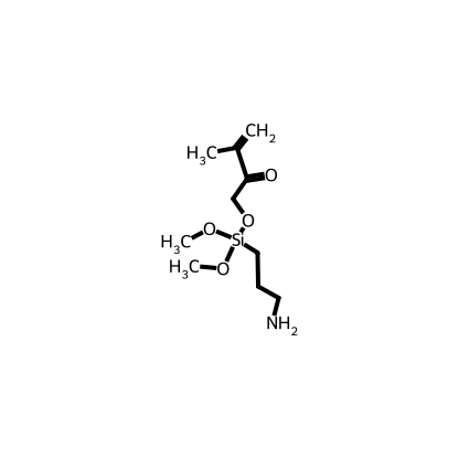 C=C(C)C(=O)CO[Si](CCCN)(OC)OC